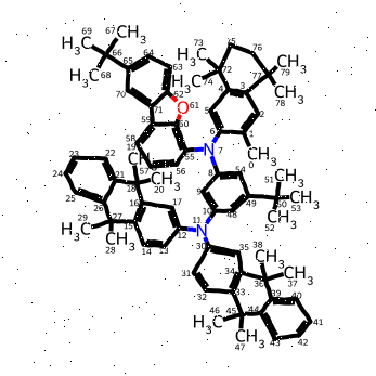 Cc1cc2c(cc1N(c1cc(N(c3ccc4c(c3)C(C)(C)c3ccccc3C4(C)C)c3ccc4c(c3)C(C)(C)c3ccccc3C4(C)C)cc(C(C)(C)C)c1)c1cccc3c1oc1ccc(C(C)(C)C)cc13)C(C)(C)CCC2(C)C